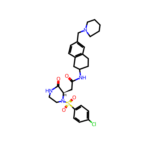 O=C(C[C@@H]1C(=O)NCCN1S(=O)(=O)c1ccc(Cl)cc1)NC1CCc2cc(CN3CCCCC3)ccc2C1